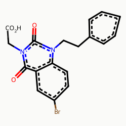 O=C(O)Cn1c(=O)c2cc(Br)ccc2n(CCc2ccccc2)c1=O